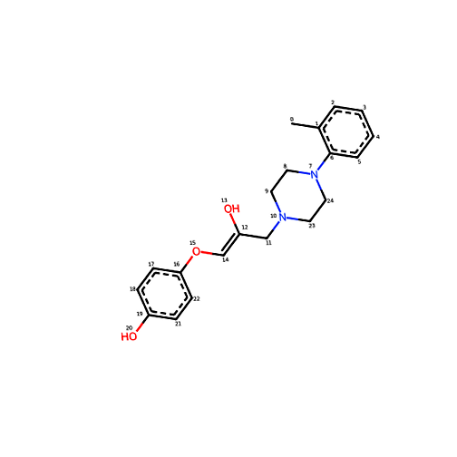 Cc1ccccc1N1CCN(C/C(O)=C/Oc2ccc(O)cc2)CC1